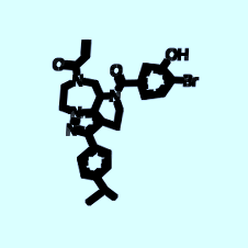 C=CC(=O)N1CCn2nc(-c3ccc(C(C)C)cc3)c3c2C(C1)N(C(=O)c1ccc(Br)c(O)c1)CC3